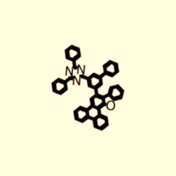 c1ccc(-c2cc(-c3nc(-c4ccccc4)nc(-c4ccccc4)n3)cc(-c3cc4c5ccccc5c5ccccc5c4c4oc5ccccc5c34)c2)cc1